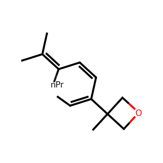 C/C=C(\C=C/C(CCC)=C(C)C)C1(C)COC1